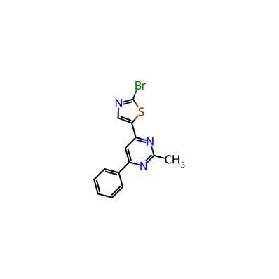 Cc1nc(-c2ccccc2)cc(-c2cnc(Br)s2)n1